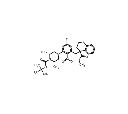 COC(=O)C1(Cc2nc(Cl)nc(N3C[C@@H](C)N(C(=O)OC(C)(C)C)[C@@H](C)C3)c2[N+](=O)[O-])CCCc2ccccc21